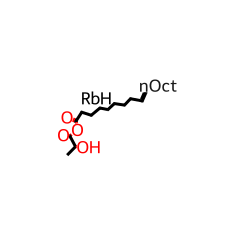 CCCCCCCC/C=C\CCCCCCCC(=O)OC(=O)C(C)O.[RbH]